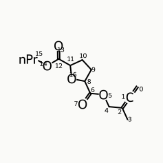 C=C=C(C)COC(=O)C1CCC(C(=O)OCCC)O1